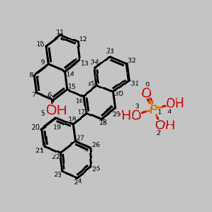 O=P(O)(O)O.Oc1ccc2ccccc2c1-c1c(-c2cccc3ccccc23)ccc2ccccc12